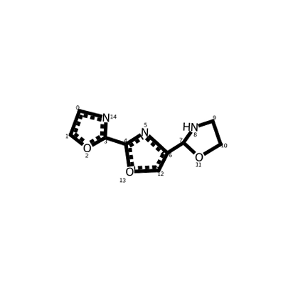 c1coc(-c2nc(C3NCCO3)co2)n1